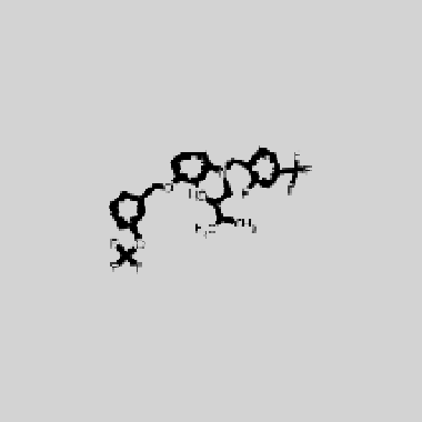 CC(C)C(O)CN(Cc1ccc(C(F)(F)F)cc1F)c1cccc(OCc2cccc(OC(F)(F)F)c2)c1